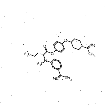 CCC[C@H](C(=O)Oc1ccc(OC2CCN(C(C)=N)CC2)cc1)N(C)c1cccc(C(=N)N)c1